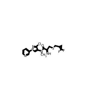 CN(C(=O)C(=N)CSCC1CC1(F)F)c1cn(-c2cccnc2)nc1Cl